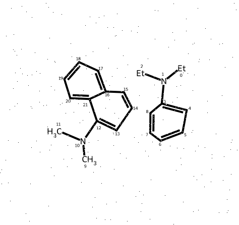 CCN(CC)c1ccccc1.CN(C)c1cccc2ccccc12